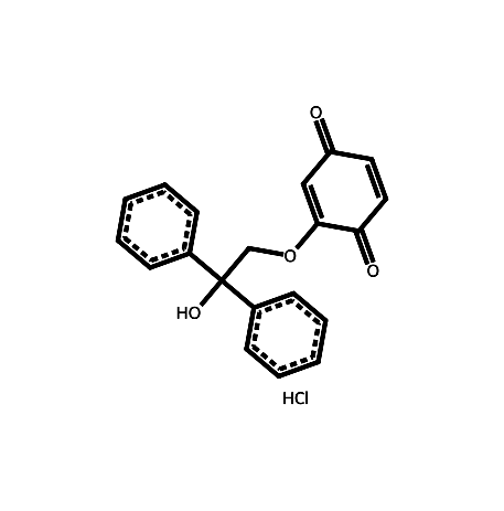 Cl.O=C1C=CC(=O)C(OCC(O)(c2ccccc2)c2ccccc2)=C1